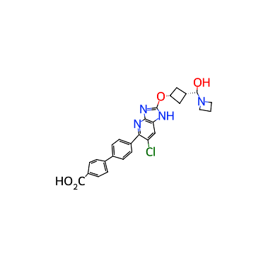 O=C(O)c1ccc(-c2ccc(-c3nc4nc(O[C@H]5C[C@@H](C(O)N6CCC6)C5)[nH]c4cc3Cl)cc2)cc1